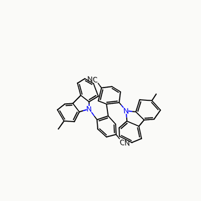 Cc1ccc2c3ccccc3n(-c3ccc(C#N)cc3-c3cc(C#N)ccc3-n3c4ccccc4c4ccc(C)cc43)c2c1